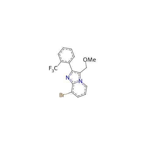 COCc1c(-c2ccccc2C(F)(F)F)nc2c(Br)cccn12